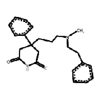 CN(CCCC1(c2ccccc2)CC(=O)NC(=O)C1)CCc1ccccc1